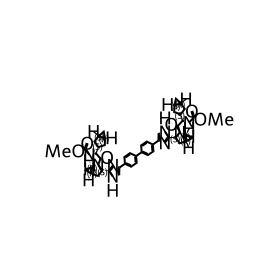 COC(=O)NC(C(=O)N1[C@@H]2C[C@@H]2C[C@H]1c1nc(-c2ccc(-c3ccc(-c4c[nH]c([C@@H]5C[C@H]6C[C@H]6N5C(=O)C(NC(=O)OC)[C@H]5C[C@@H]6C[C@@H]6C5)n4)cc3)cc2)c[nH]1)[C@H]1C[C@@H]2C[C@@H]2C1